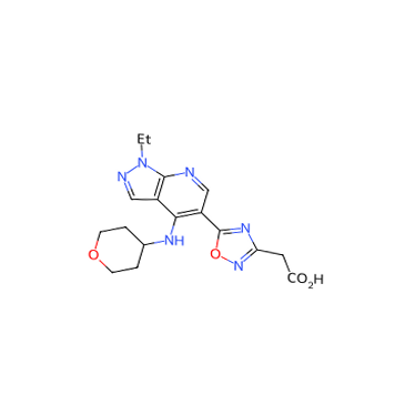 CCn1ncc2c(NC3CCOCC3)c(-c3nc(CC(=O)O)no3)cnc21